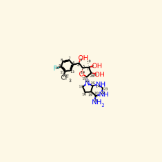 C[C@@]1(O)[C@@H]([C@H](O)c2ccc(F)c(C(F)(F)F)c2)O[C@@H](N2CCC3C(N)NCNC32)[C@@H]1O